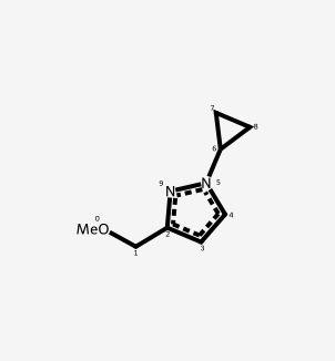 COCc1ccn(C2CC2)n1